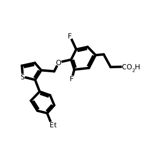 CCc1ccc(-c2sccc2COc2c(F)cc(CCC(=O)O)cc2F)cc1